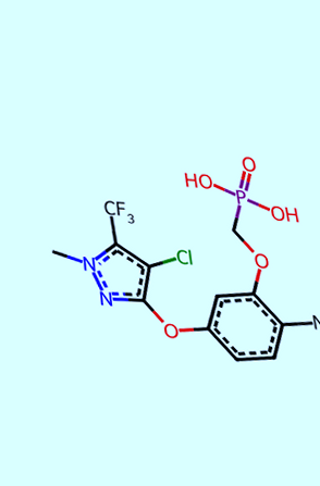 Cn1nc(Oc2ccc([N+](=O)[O-])c(OCP(=O)(O)O)c2)c(Cl)c1C(F)(F)F